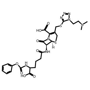 CN(C)CCn1nnnc1SCC1=C(C(=O)O)N2C(=O)[C@H](NC(=O)CCCC(NC(=O)Oc3ccccc3)C(=O)O)[C@@H]2SC1